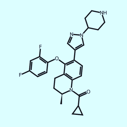 C[C@H]1CCc2c(ccc(-c3cnn(C4CCNCC4)c3)c2Oc2ccc(F)cc2F)N1C(=O)C1CC1